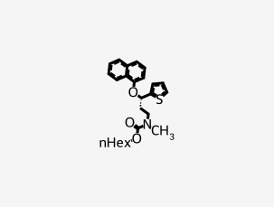 CCCCCCOC(=O)N(C)CC[C@H](Oc1cccc2ccccc12)c1cccs1